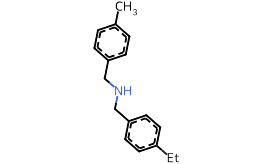 CCc1ccc(CNCc2ccc(C)cc2)cc1